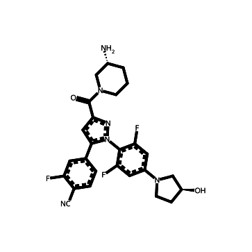 N#Cc1ccc(-c2cc(C(=O)N3CCC[C@@H](N)C3)nn2-c2c(F)cc(N3CC[C@H](O)C3)cc2F)cc1F